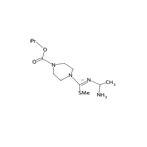 CS/C(=N\C(C)N)N1CCN(C(=O)OC(C)C)CC1